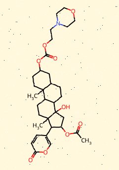 CC(=O)OC1CC2(O)C3CCC4CC(OC(=O)OCCN5CCOCC5)CCC4(C)C3CCC2(C)C1c1ccc(=O)oc1